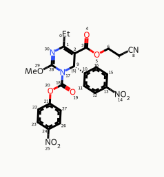 CCC1=C(C(=O)OCCC#N)[C@H](c2ccc([N+](=O)[O-])cc2)N(C(=O)Oc2ccc([N+](=O)[O-])cc2)C(OC)=N1